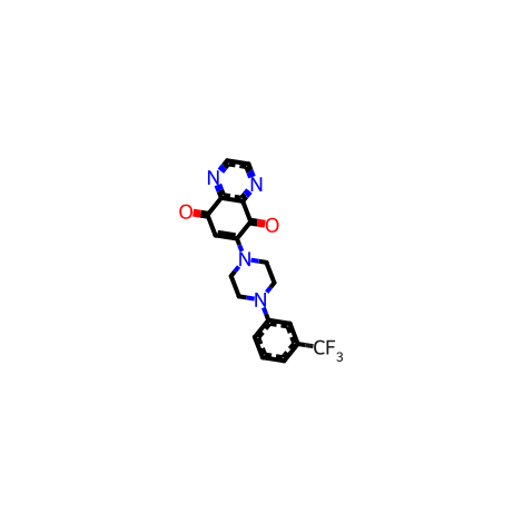 O=C1C=C(N2CCN(c3cccc(C(F)(F)F)c3)CC2)C(=O)c2nccnc21